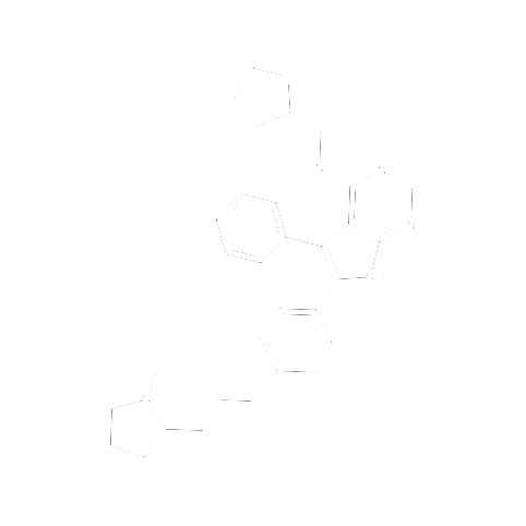 CN1CCCC1CCOc1ccc(-c2[nH]c3ncnc(NCC4CCCO4)c3c2-c2ccccc2)cc1